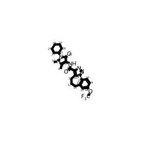 Cc1c(NC(=O)c2nnn3c2CCCc2cc(OC(F)(F)F)ccc2-3)c(=O)n(C2CCCCC2)n1C